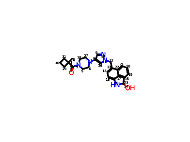 CC1(C(=O)N2CCN(c3cnn(Cc4ccc5c6c(cccc46)C(O)N5)c3)CC2)CCC1